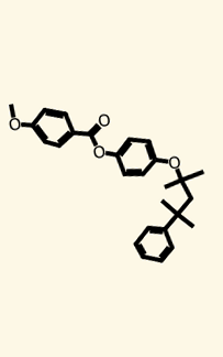 COc1ccc(C(=O)Oc2ccc(OC(C)(C)CC(C)(C)c3ccccc3)cc2)cc1